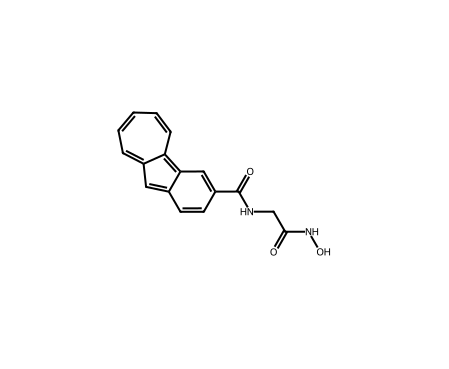 O=C(CNC(=O)c1ccc2cc3cccccc-3c2c1)NO